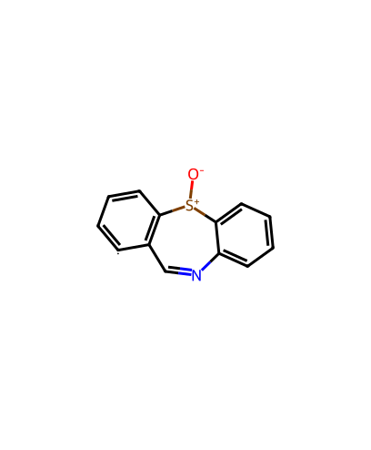 [O-][S+]1c2ccc[c]c2C=Nc2ccccc21